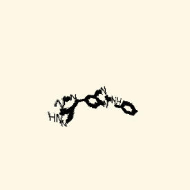 c1ccc(CNc2ncc3cc(-c4ncnc5[nH]ncc45)ccc3n2)cc1